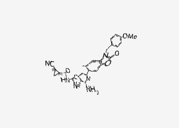 COc1ccc(Cn2c(=O)oc3cc(-c4cc5cc(NC(=O)[C@@H]6C[C@H]6C#N)ncc5c(N)n4)c(C)cc32)cc1